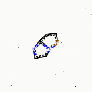 c1cn2sccc2n1